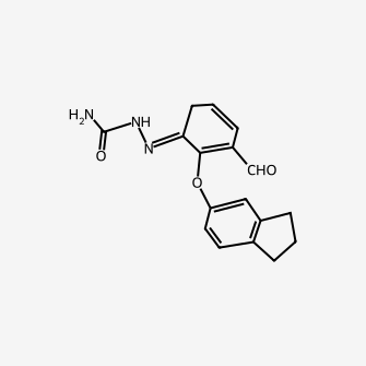 NC(=O)NN=C1CC=CC(C=O)=C1Oc1ccc2c(c1)CCC2